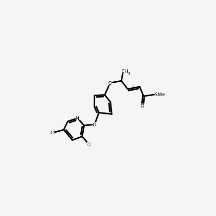 CSC(=O)/C=C/C(C)Oc1ccc(Oc2ncc(Cl)cc2Cl)cc1